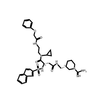 N=C(N)N1CCC[C@@H](CNC(=O)C[C@H](NS(=O)(=O)c2ccc3ccccc3c2)C(=O)N(CCNC(=O)COc2ccccc2)C2CC2)C1